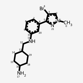 Cn1cc(Br)c(-c2cccc(NCC3CCC(N)CC3)c2)n1